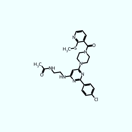 CSc1ncccc1C(=O)N1CCN(c2cc(NCCNC(C)=O)nc(-c3ccc(Cl)cc3)n2)CC1